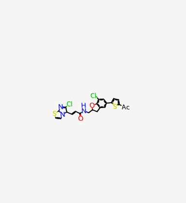 CC(=O)c1ccc(-c2cc(Cl)c3c(c2)CC(CNC(=O)/C=C/C2C(Cl)=NC4SC=CN42)O3)s1